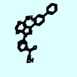 C#CC(=O)N1CC2CC1C(n1nc(-c3ccc(-c4ccccc4)cc3)c3c(N)ncnc31)C2